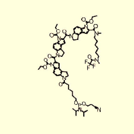 CCOC(=O)n1c(C(=O)N2CCc3c2ccc2c3cc(C(=O)N3CCc4c3ccc3c4cc(C(=O)N(C)CCCCCCN(C)C(=O)C(F)(F)F)n3C(=O)OCC)n2C(=O)OCC)cc2c3c(ccc21)N(C(=O)CCCCCOP(OCCC#N)N(C(C)C)C(C)C)CC3